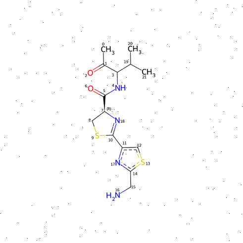 CC(=O)C(NC(=O)[C@@H]1CSC(c2csc(CN)n2)=N1)C(C)C